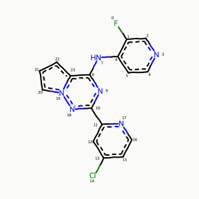 Fc1cnccc1Nc1nc(-c2cc(Cl)ccn2)nn2cccc12